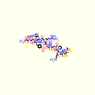 CC(=O)N[C@@H](CS)C(=O)N[C@@H](CS)C(=O)N[C@@H](CCCCN)C(=O)N1CCC[C@H]1C(=O)NCC(=O)N[C@@H](CS)C(=O)NCC(=O)N[C@@H](CCCNC(=N)N)C(=O)N[C@@H](Cc1c[nH]cn1)C(=O)N[C@@H](Cc1ccc(O)cc1)C(=O)N[C@@H](CO)C(=O)N[C@@H](CS)C(N)=O